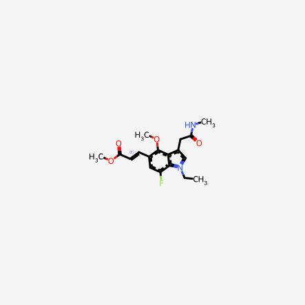 CCn1cc(CC(=O)NC)c2c(OC)c(/C=C/C(=O)OC)cc(F)c21